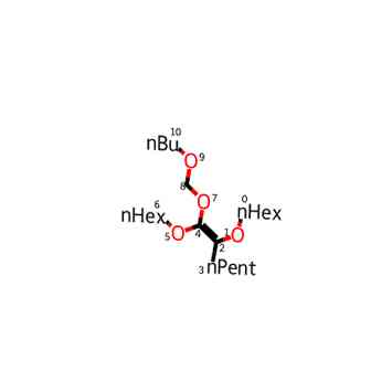 CCCCCCOC(CCCCC)=C(OCCCCCC)OCOCCCC